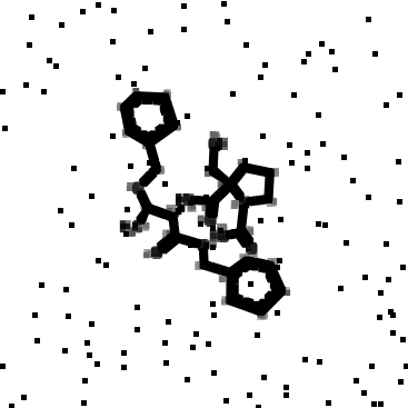 C[C@@H](OCc1ccccc1)[C@H](NC(=O)[C@]1(CO)CCCN1C(=O)O)C(=O)OCc1ccccc1